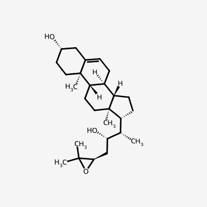 C[C@@H]([C@H]1CC[C@H]2[C@@H]3CC=C4C[C@@H](O)CC[C@]4(C)[C@H]3CC[C@]12C)[C@@H](O)C[C@H]1OC1(C)C